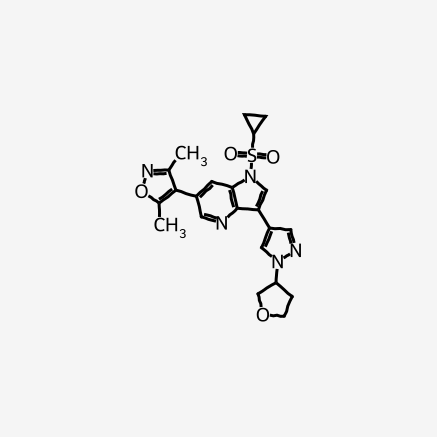 Cc1noc(C)c1-c1cnc2c(-c3cnn(C4CCOC4)c3)cn(S(=O)(=O)C3CC3)c2c1